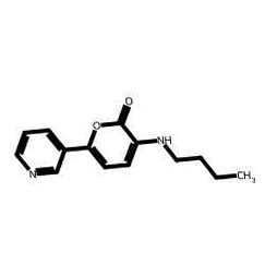 CCCCNc1ccc(-c2cccnc2)oc1=O